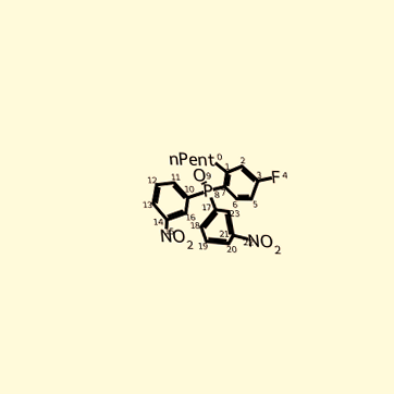 CCCCCc1cc(F)ccc1P(=O)(c1cccc([N+](=O)[O-])c1)c1cccc([N+](=O)[O-])c1